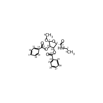 CCNC(=O)[C@H]1O[C@H](OC)[C@H](OC(=O)c2ccccc2)[C@@H]1OC(=O)c1ccccc1